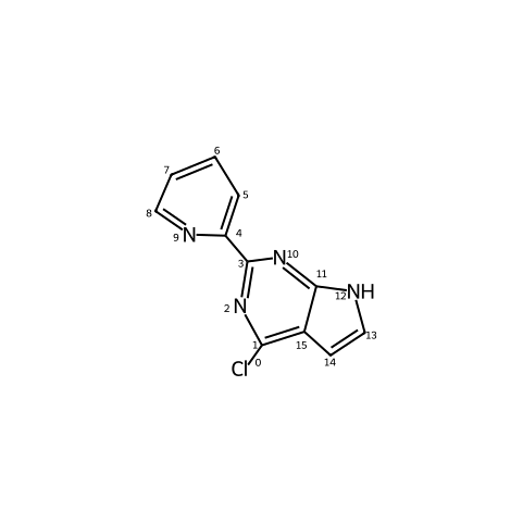 Clc1nc(-c2ccccn2)nc2[nH]ccc12